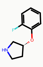 Fc1ccccc1O[C@@H]1CCNC1